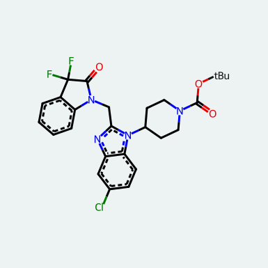 CC(C)(C)OC(=O)N1CCC(n2c(CN3C(=O)C(F)(F)c4ccccc43)nc3cc(Cl)ccc32)CC1